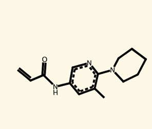 C=CC(=O)Nc1cnc(N2CCCCC2)c(C)c1